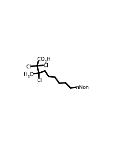 CCCCCCCCCCCCCCCC(C)(Cl)C(Cl)(Cl)C(=O)O